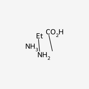 CC(=O)O.CCN.N